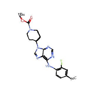 [C-]#[N+]c1ccc(Nc2ncnc3c2ncn3C2CCN(C(=O)OC(C)(C)C)CC2)c(F)c1